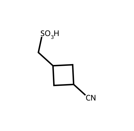 N#CC1CC(CS(=O)(=O)O)C1